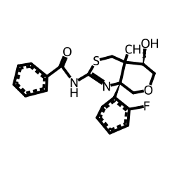 CC12CSC(NC(=O)c3ccccc3)=N[C@@]1(c1ccccc1F)COC[C@@H]2O